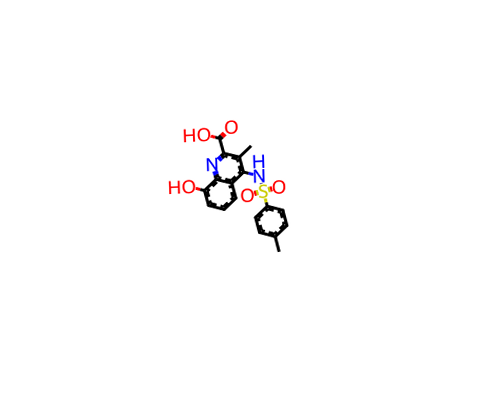 Cc1ccc(S(=O)(=O)Nc2c(C)c(C(=O)O)nc3c(O)cccc23)cc1